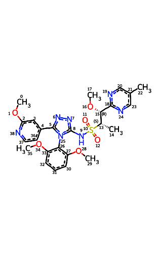 COc1cc(-c2nnc(NS(=O)(=O)[C@@H](C)[C@H](OC)c3ncc(C)cn3)n2-c2c(OC)cccc2OC)ccn1